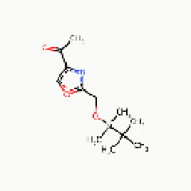 CC(=O)c1coc(CO[Si](C)(C)C(C)(C)C)n1